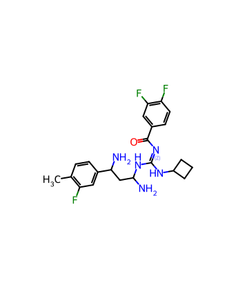 Cc1ccc(C(N)CC(N)N/C(=N\C(=O)c2ccc(F)c(F)c2)NC2CCC2)cc1F